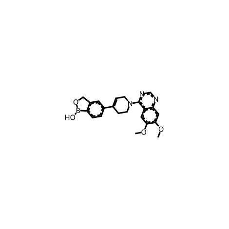 COc1cc2ncnc(N3CC=C(c4ccc5c(c4)COB5O)CC3)c2cc1OC